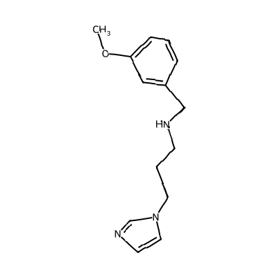 COc1cccc(CNCCCn2ccnc2)c1